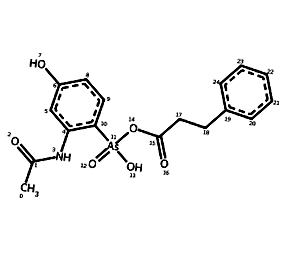 CC(=O)Nc1cc(O)ccc1[As](=O)(O)OC(=O)CCc1ccccc1